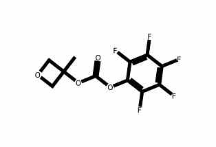 CC1(OC(=O)Oc2c(F)c(F)c(F)c(F)c2F)COC1